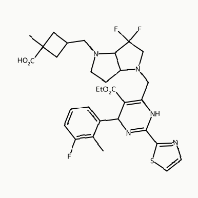 CCOC(=O)C1=C(CN2CC(F)(F)C3C2CCN3CC2CC(C)(C(=O)O)C2)NC(c2nccs2)=NC1c1cccc(F)c1C